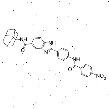 O=C(Nc1ccc(-c2nc3cc(C(=O)NC45CC6CC(CC(C6)C4)C5)ccc3[nH]2)cc1)c1ccc([N+](=O)[O-])cc1